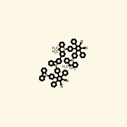 CC1(C)c2ccccc2N(c2ccc(-c3c(-c4ccccc4)c(C#N)c(C#N)c(-c4ccccc4)c3-c3ccc(N4c5ccccc5C(C)(C)c5cc(-c6ccc7c(c6)c6ccccc6n7-c6ccc(-c7c(-c8ccccc8)c(C#N)c(C#N)c(-c8ccccc8)c7-c7ccc(-n8c9ccccc9c9ccccc98)cc7)cc6)ccc54)cc3)cc2)c2ccccc21